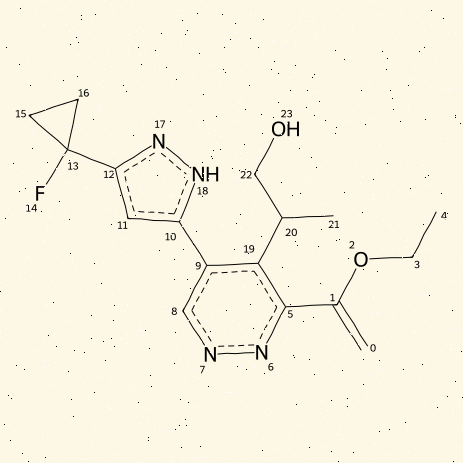 C=C(OCC)c1nncc(-c2cc(C3(F)CC3)n[nH]2)c1C(C)CO